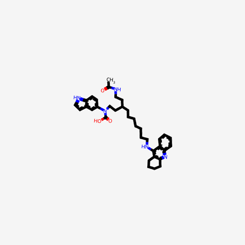 CC(=O)NCCC(CCCCCCCNc1c2c(nc3ccccc13)CCCC2)CCN(C(=O)O)c1ccc2[nH]ccc2c1